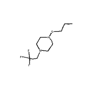 CCCSN1CCN(CC(F)(F)F)CC1